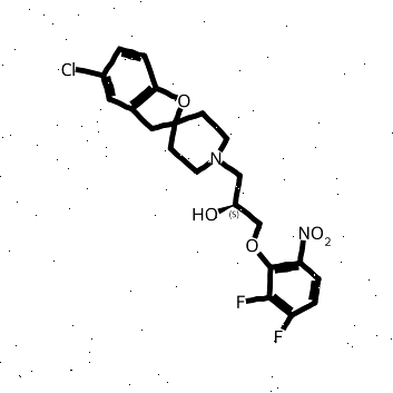 O=[N+]([O-])c1ccc(F)c(F)c1OC[C@@H](O)CN1CCC2(CC1)Cc1cc(Cl)ccc1O2